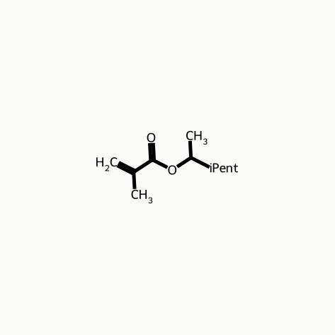 C=C(C)C(=O)OC(C)C(C)CCC